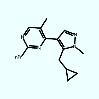 CCCc1ncc(C)c(-c2cnn(C)c2CC2CC2)n1